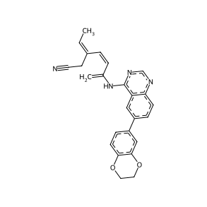 C=C(/C=C\C(=C/C)CC#N)Nc1ncnc2ccc(-c3ccc4c(c3)OCCO4)cc12